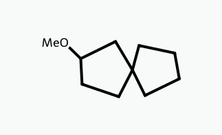 COC1CCC2(CCCC2)C1